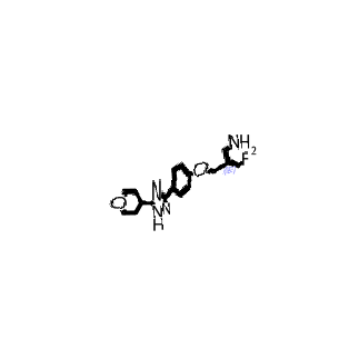 NC/C(=C\F)COc1ccc(-c2n[nH]c(C3CCOCC3)n2)cc1